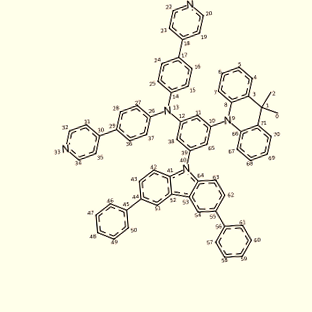 CC1(C)c2ccccc2N(c2cc(N(c3ccc(-c4ccncc4)cc3)c3ccc(-c4ccncc4)cc3)cc(-n3c4ccc(-c5ccccc5)cc4c4cc(-c5ccccc5)ccc43)c2)c2ccccc21